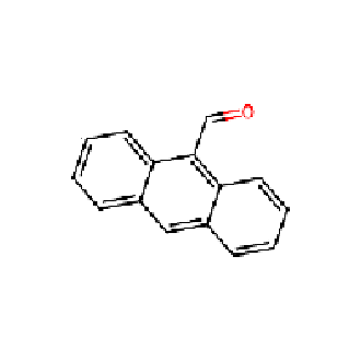 O=Cc1c2c[c]ccc2cc2ccccc12